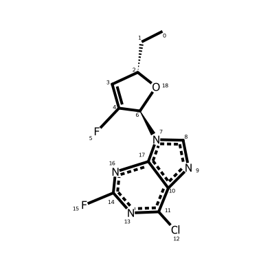 CC[C@H]1C=C(F)[C@H](n2cnc3c(Cl)nc(F)nc32)O1